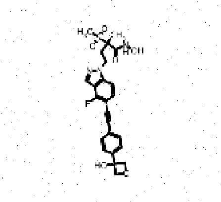 CC(CCn1ncc2c(F)c(C#Cc3ccc(C4(O)COC4)cc3)ccc21)(C(=O)NO)S(C)(=O)=O